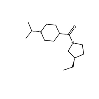 CC[C@@H]1CCN(C(=O)C2CCN(C(C)C)CC2)C1